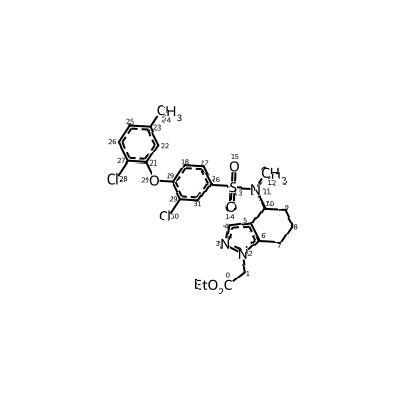 CCOC(=O)Cn1ncc2c1CCCC2N(C)S(=O)(=O)c1ccc(Oc2cc(C)ccc2Cl)c(Cl)c1